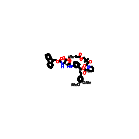 C=CC(=O)OCC(C)(C)C(=O)C(=O)N1CCCC[C@H]1C(=O)O[C@H](CCc1ccc(OC)c(OC)c1)c1cccc(NC(=O)C[C@H](NC(=O)OCC2c3ccccc3-c3ccccc32)C(=O)OC(C)(C)C)c1